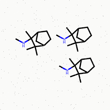 CNC1(C)C2CCC(C2)C1(C)C.CNC1(C)C2CCC(C2)C1(C)C.CNC1(C)C2CCC(C2)C1(C)C